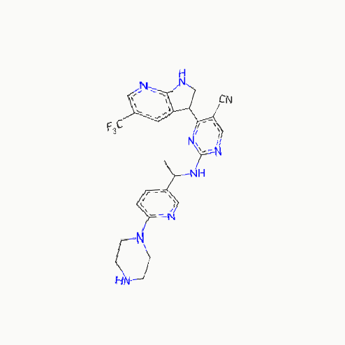 CC(Nc1ncc(C#N)c(C2CNc3ncc(C(F)(F)F)cc32)n1)c1ccc(N2CCNCC2)nc1